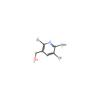 CCc1nc(SC)c(C#N)cc1CO